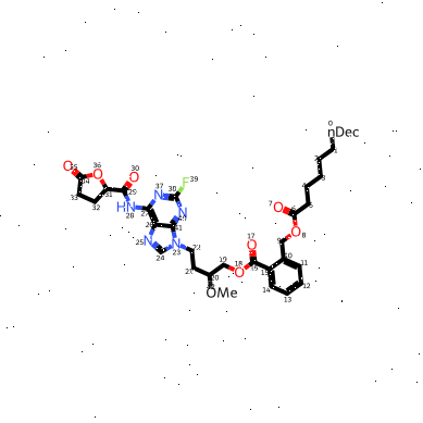 CCCCCCCCCCCCCCCC(=O)OCc1ccccc1C(=O)OCC(CCn1cnc2c(NC(=O)C3CCC(=O)O3)nc(F)nc21)OC